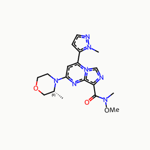 CON(C)C(=O)c1ncn2c(-c3ccnn3C)cc(N3CCOC[C@H]3C)nc12